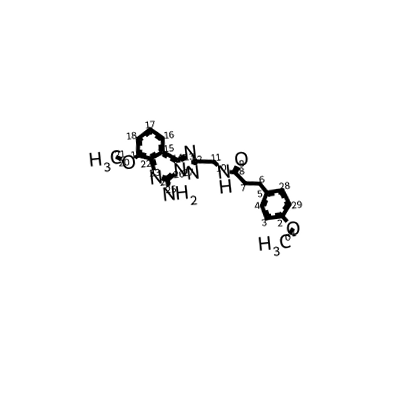 COc1ccc(CCC(=O)NCc2nc3c4cccc(OC)c4nc(N)n3n2)cc1